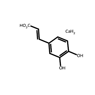 O=C(O)C=Cc1ccc(O)c(O)c1.[CaH2]